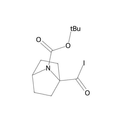 CC(C)(C)OC(=O)N1C2CCC1(C(=O)I)CC2